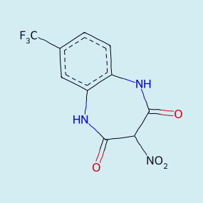 O=C1Nc2ccc(C(F)(F)F)cc2NC(=O)C1[N+](=O)[O-]